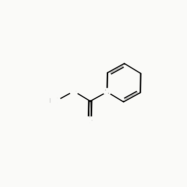 COC(=O)N1C=CCC=C1